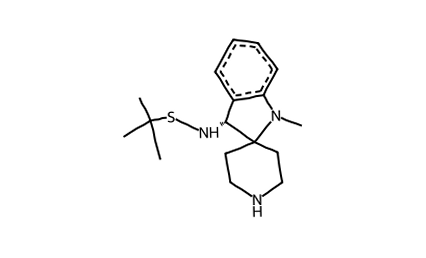 CN1c2ccccc2[C@@H](NSC(C)(C)C)C12CCNCC2